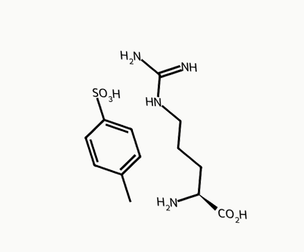 Cc1ccc(S(=O)(=O)O)cc1.N=C(N)NCCC[C@H](N)C(=O)O